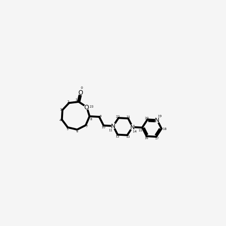 O=C1CCCCCCC(CCN2CCN(c3cccnc3)CC2)O1